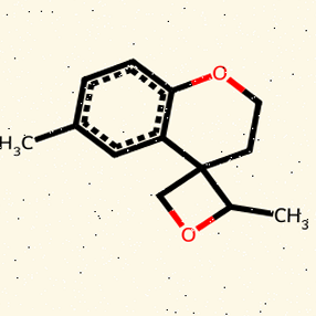 Cc1ccc2c(c1)C1(CCO2)COC1C